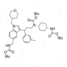 Cc1cccc(C(CCN(C(=O)OC(C)(C)C)[C@H]2CC[C@@H](NC(=O)OC(C)(C)C)CC2)c2cn(CC3CCOCC3)c3ccc(CNC(=O)OC(C)(C)C)cc23)c1